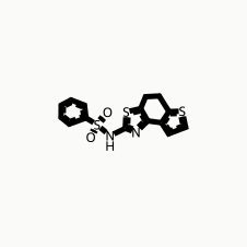 O=S(=O)(Nc1nc2c(s1)CCc1sccc1-2)c1ccccc1